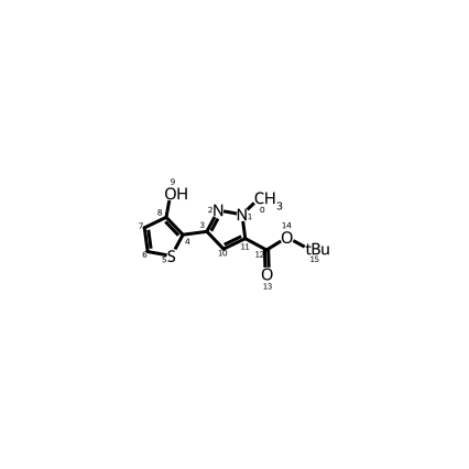 Cn1nc(-c2sccc2O)cc1C(=O)OC(C)(C)C